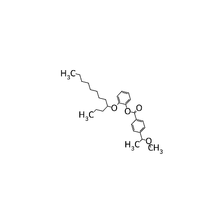 CCCCCCCCC(CCC)Oc1ccccc1OC(=O)c1ccc(C(C)OC)cc1